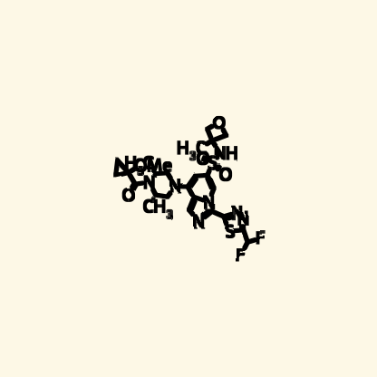 COC1(C(=O)N2[C@@H](C)CN(c3cc(S(=O)(=O)NC4(C)COC4)cn4c(-c5nnc(C(F)F)s5)ncc34)C[C@@H]2C)CC1